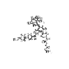 COC(=O)CCC(=O)NC1CCC(n2c(=O)cc(C#C[Si](C(C)C)(C(C)C)C(C)C)c3cnc(Nc4ccc(N5CCN(C)CC5)cc4)nc32)CC1